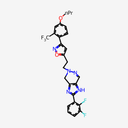 CCCOc1ccc(-c2cc(CCN3Cc4nc(-c5cccc(F)c5F)[nH]c4C=N3)on2)c(C(F)(F)F)c1